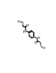 CCSCC(=O)Nc1ccc(NC(=O)CSC(C)=O)cc1